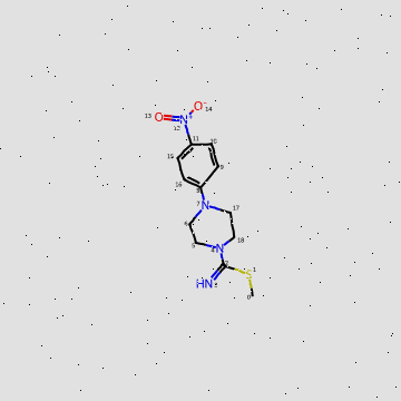 CSC(=N)N1CCN(c2ccc([N+](=O)[O-])cc2)CC1